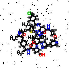 Cc1ncoc1-c1ccc([C@H](C)NC(=O)[C@@H]2C[C@@H](O)CN2C(=O)C(C(C)C)n2cc(-c3ccnc(O[C@H]4C[C@@H](NC(=O)C[C@@H]5N=C(c6ccc(Cl)cc6)c6c(sc(C)c6C)-n6c(C)nnc65)C4)c3)cn2)cc1